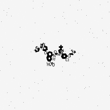 CN(C)CCOc1cc(-n2nc(C(C)(C)C)cc2NC(=O)N[C@H]2CC[C@@H](Oc3ccc4nnc([C@@H]5CCCN5C)n4c3)c3ccccc32)ccc1Cl.O=CO